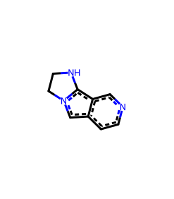 c1cc2cn3c(c2cn1)NCC3